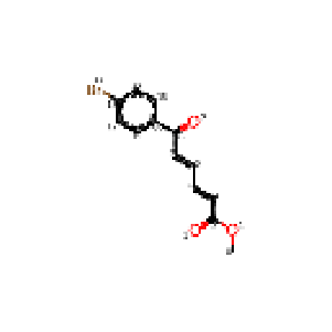 COC(=O)C=CC=CC(=O)c1ccc(Br)cc1